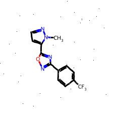 Cn1nccc1-c1nc(-c2ccc(C(F)(F)F)cc2)no1